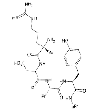 CCCNC(=O)[C@H](Cc1ccc(O)cc1)NC(=O)[C@@H](NC(=O)[C@H](CC(=O)O)NC(=O)[C@@](N)(CCCNC(=N)N)C(C)=O)C(C)C